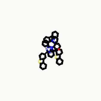 c1ccc(-c2ccccc2-n2c3ccccc3c3cccc(-n4c5ccccc5c5cccc(-c6nc(-c7ccc8sc9ccccc9c8c7)nc(-c7cccc8c7sc7ccccc78)n6)c54)c32)cc1